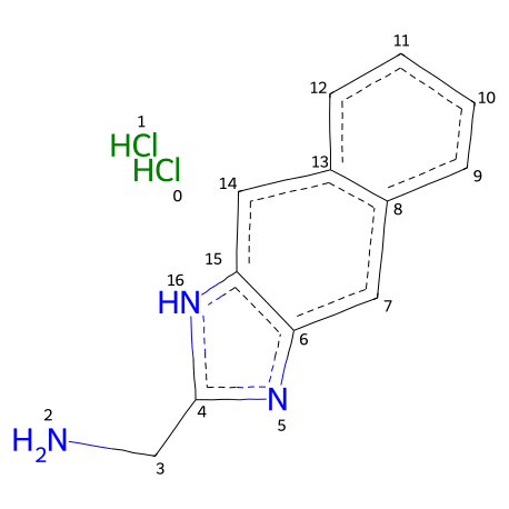 Cl.Cl.NCc1nc2cc3ccccc3cc2[nH]1